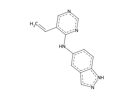 C=Cc1cncnc1Nc1ccc2[nH]ncc2c1